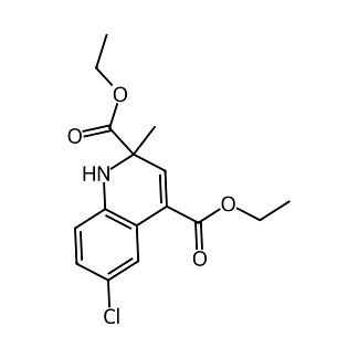 CCOC(=O)C1=CC(C)(C(=O)OCC)Nc2ccc(Cl)cc21